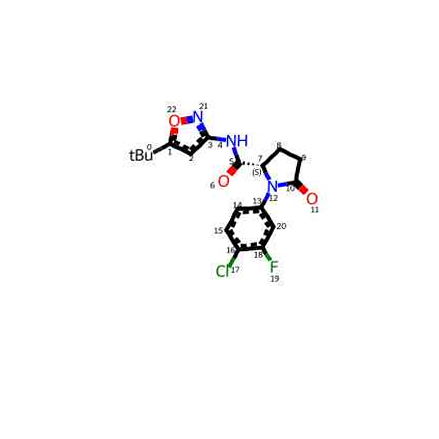 CC(C)(C)c1cc(NC(=O)[C@@H]2CCC(=O)N2c2ccc(Cl)c(F)c2)no1